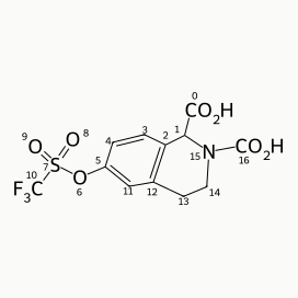 O=C(O)C1c2ccc(OS(=O)(=O)C(F)(F)F)cc2CCN1C(=O)O